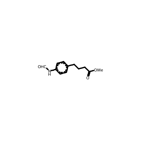 COC(=O)CCCc1ccc(NC=O)cc1